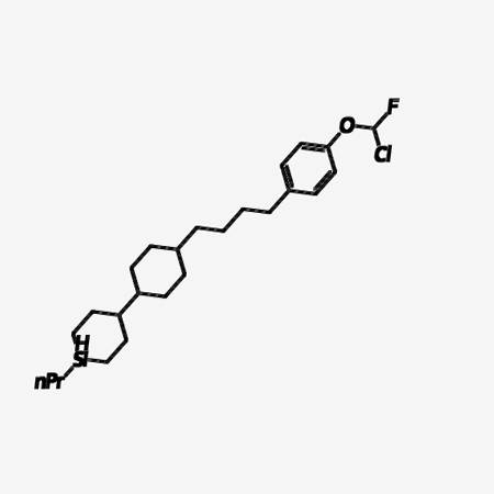 CCC[SiH]1CCC(C2CCC(CCCCc3ccc(OC(F)Cl)cc3)CC2)CC1